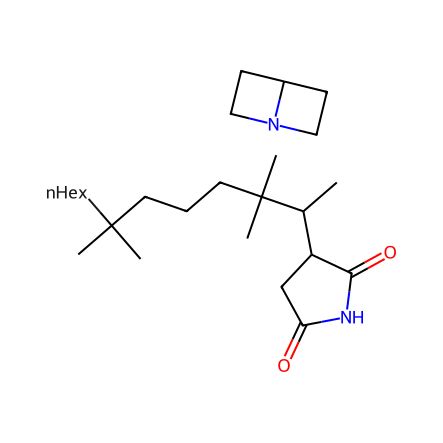 C1CN2CCC12.CCCCCCC(C)(C)CCCC(C)(C)C(C)C1CC(=O)NC1=O